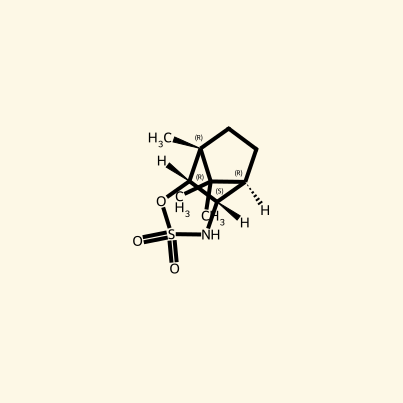 CC1(C)[C@H]2CC[C@@]1(C)[C@H]1OS(=O)(=O)N[C@@H]21